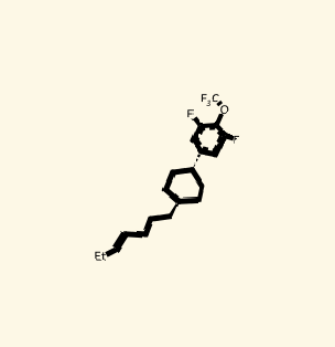 CC/C=C/CCC[C@H]1CC[C@H](c2cc(F)c(OC(F)(F)F)c(F)c2)CC1